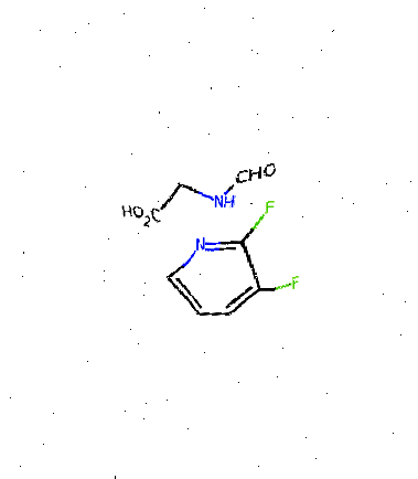 Fc1cccnc1F.O=CNCC(=O)O